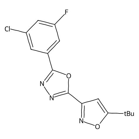 CC(C)(C)c1cc(-c2nnc(-c3cc(F)cc(Cl)c3)o2)no1